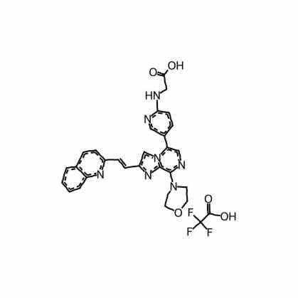 O=C(O)C(F)(F)F.O=C(O)CNc1ccc(-c2cnc(N3CCOCC3)c3nc(C=Cc4ccc5ccccc5n4)cn23)cn1